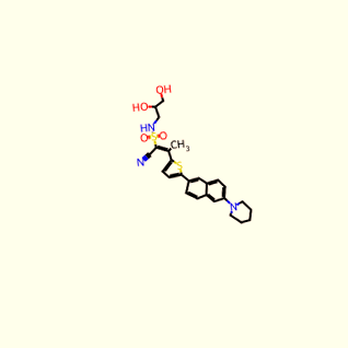 C/C(=C(/C#N)S(=O)(=O)NCC(O)CO)c1ccc(-c2ccc3cc(N4CCCCC4)ccc3c2)s1